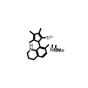 CC1=C(C)C(c2c(C)ccc3c2NCCC3)[C]([Ti+2])=C1C.C[N-]C.C[N-]C